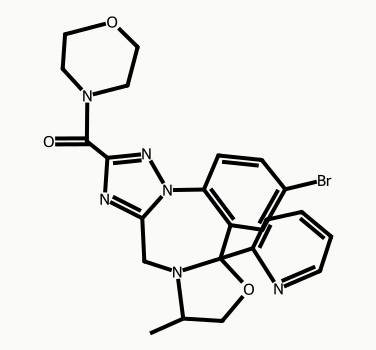 CC1COC2(c3ccccn3)c3cc(Br)ccc3-n3nc(C(=O)N4CCOCC4)nc3CN12